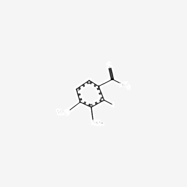 COc1ccc(C(N)=O)c(I)c1OC